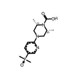 C[C@@H]1CN(c2ccc(P(C)(C)=O)cn2)C[C@H](C)N1C(=O)O